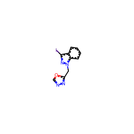 Ic1nn(Cc2nnco2)c2ccccc12